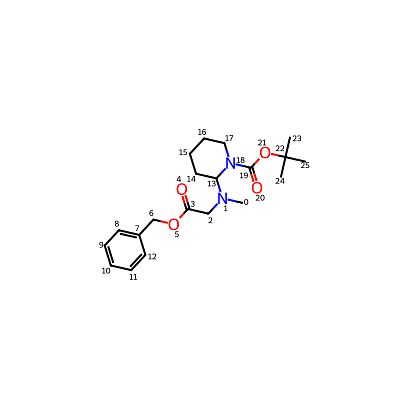 CN(CC(=O)OCc1ccccc1)C1CCCCN1C(=O)OC(C)(C)C